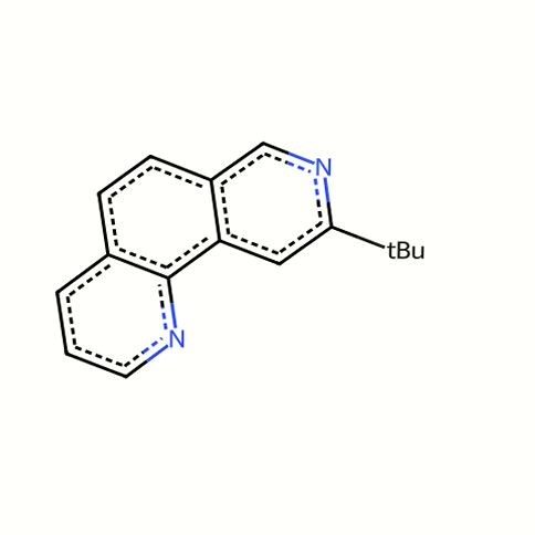 CC(C)(C)c1cc2c(ccc3cccnc32)cn1